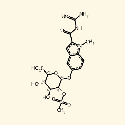 Cn1c(C(=O)NC(=N)N)cc2cc(O[C@@H]3O[C@H](C(=O)O)[C@@H](O)[C@H](O)[C@H]3OS(C)(=O)=O)ccc21